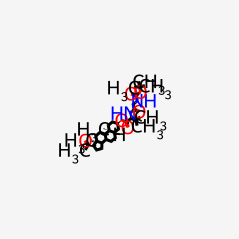 CC(=O)[C@H]1CCC2C3CC[C@H]4C[C@H](OC(=O)[C@@H](NC(=O)CNC(=O)OC(C)(C)C)C(C)C)CC[C@]4(C)C3CC[C@@]21C